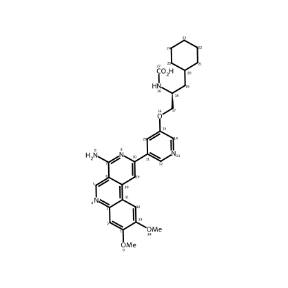 COc1cc2ncc3c(N)nc(-c4cncc(OC[C@H](CC5CCCCC5)NC(=O)O)c4)cc3c2cc1OC